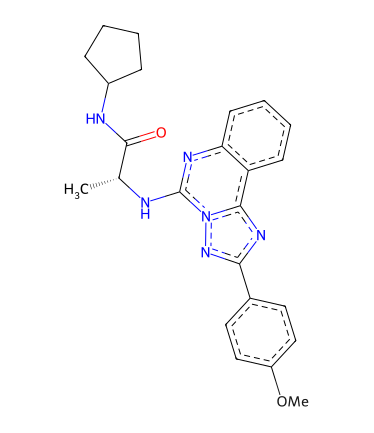 COc1ccc(-c2nc3c4ccccc4nc(N[C@H](C)C(=O)NC4CCCC4)n3n2)cc1